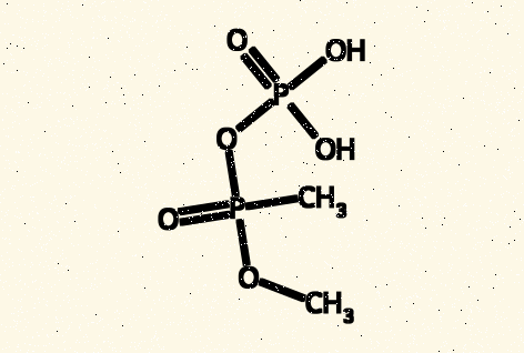 COP(C)(=O)OP(=O)(O)O